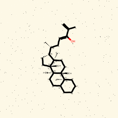 C=C(C)C(O)=CC[C@@H](C)[C@H]1CC[C@H]2[C@@H]3CCC4CCCC[C@]4(C)[C@H]3CC[C@]12C